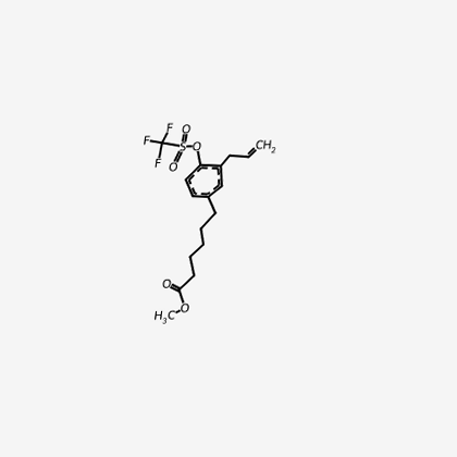 C=CCc1cc(CCCCCC(=O)OC)ccc1OS(=O)(=O)C(F)(F)F